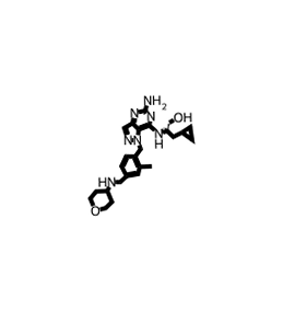 Cc1cc(CNC2CCOCC2)ccc1Cn1ncc2nc(N)nc(N[C@H](CO)CC3CC3)c21